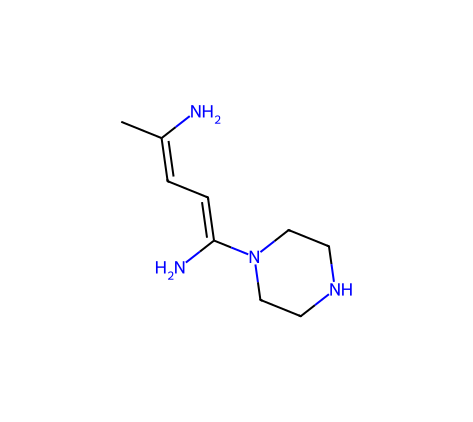 C/C(N)=C/C=C(\N)N1CCNCC1